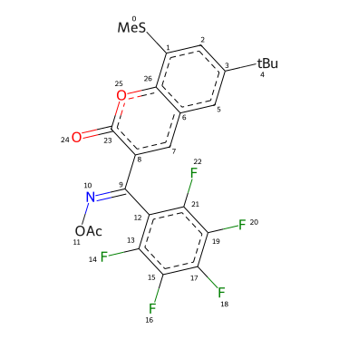 CSc1cc(C(C)(C)C)cc2cc(/C(=N/OC(C)=O)c3c(F)c(F)c(F)c(F)c3F)c(=O)oc12